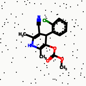 COC(=O)OC1=C(C)NC(C)=C(C#N)C1c1ccccc1Cl